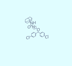 O=C(NC12CC3CC(CC(C3)C1)C2)N1CC(OC(c2ccc(Cl)cc2)c2ccc(Cl)cc2)C1